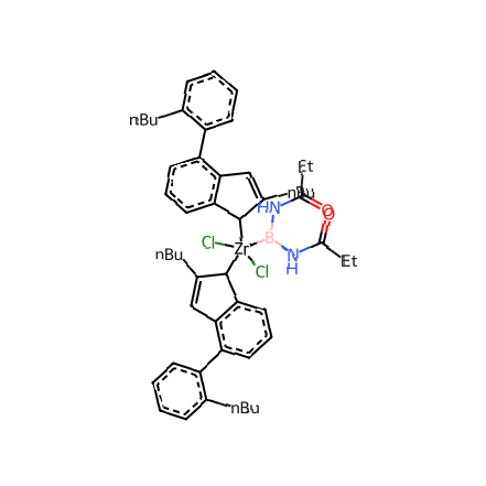 CCCCC1=Cc2c(-c3ccccc3CCCC)cccc2[CH]1[Zr]([Cl])([Cl])([B](NC(=O)CC)NC(=O)CC)[CH]1C(CCCC)=Cc2c(-c3ccccc3CCCC)cccc21